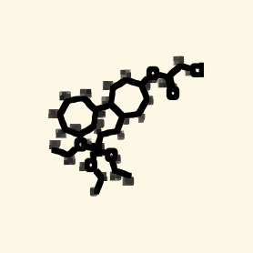 CCO[Si](CCC1CCC(OC(=O)CCl)CCC1C1CCCCCC1)(OCC)OCC